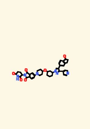 O=C1CCC(N2C(=O)c3ccc(N4CCC(OC5CCCC(n6cc(-c7ccc8c(c7)CCC8=O)c(-c7ccncc7)n6)C5)CC4)cc3C2=O)C(=O)N1